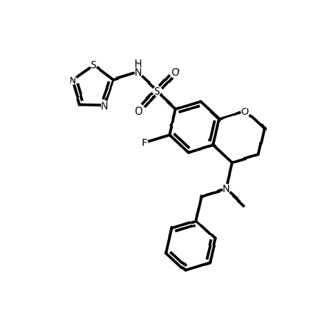 CN(Cc1ccccc1)C1CCOc2cc(S(=O)(=O)Nc3ncns3)c(F)cc21